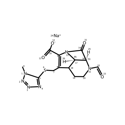 Cn1nnnc1SCC1=C(C(=O)[O-])N2C(=O)[C@@H]3[C@H]2C1CCN3C=O.[Na+]